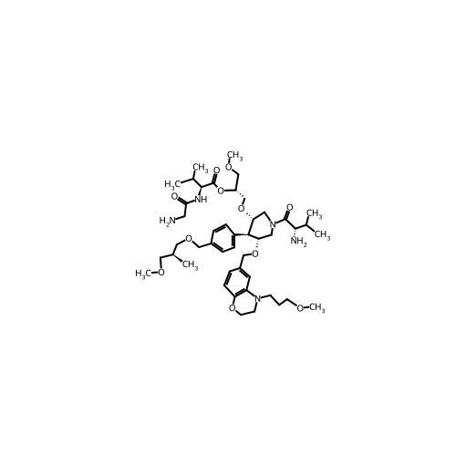 COCCCN1CCOc2ccc(CO[C@H]3CN(C(=O)[C@@H](N)C(C)C)C[C@@H](OC[C@@H](COC)OC(=O)[C@@H](NC(=O)CN)C(C)C)[C@@H]3c3ccc(COC[C@@H](C)COC)cc3)cc21